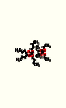 CCCC[O][Ti]([O]CCCC)([O]CCCC)[O]CCCC.CCO[Si](OCC)(OCC)OCC